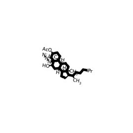 CC(=O)O[C@H]1CC[C@]2(C)[C@H]3CC[C@]4(C)[C@@H]([C@H](C)CCCC(C)C)CC[C@H]4[C@@H]3C[C@@H](O)C2(N=[N+]=[N-])C1